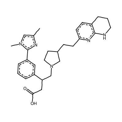 Cc1cn(C)c(-c2cccc(C(CC(=O)O)CN3CCC(CCc4ccc5c(n4)NCCC5)C3)c2)n1